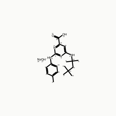 Cc1ccc(Nc2nc(NC(C)(C)CC(C)(C)C)cc(C(=O)O)n2)cc1.[Na+].[OH-]